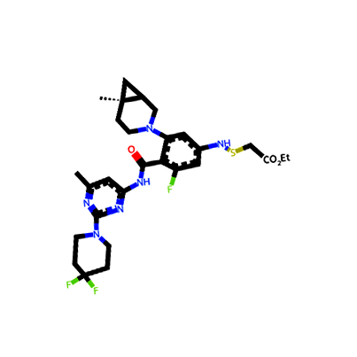 CCOC(=O)CSNc1cc(F)c(C(=O)Nc2cc(C)nc(N3CCC(F)(F)CC3)n2)c(N2CC[C@@]3(C)CC3C2)c1